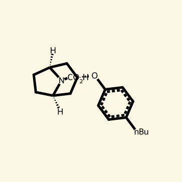 CCCCc1ccc(O[C@@H]2C[C@H]3CC[C@@H](C2)N3C(=O)O)cc1